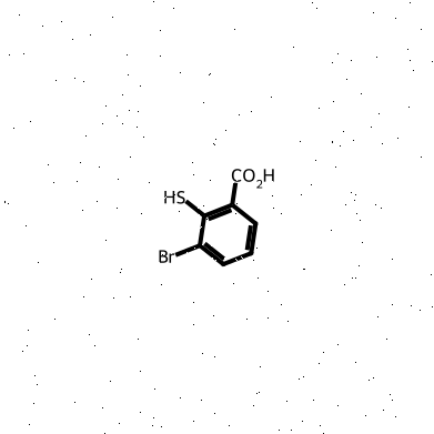 O=C(O)c1cccc(Br)c1S